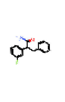 NC(=O)C(Cc1ccccc1)c1cccc(F)c1